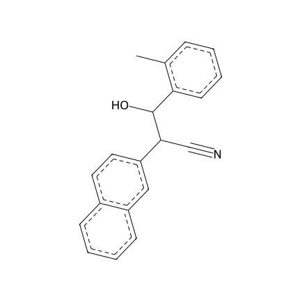 Cc1ccccc1C(O)C(C#N)c1ccc2ccccc2c1